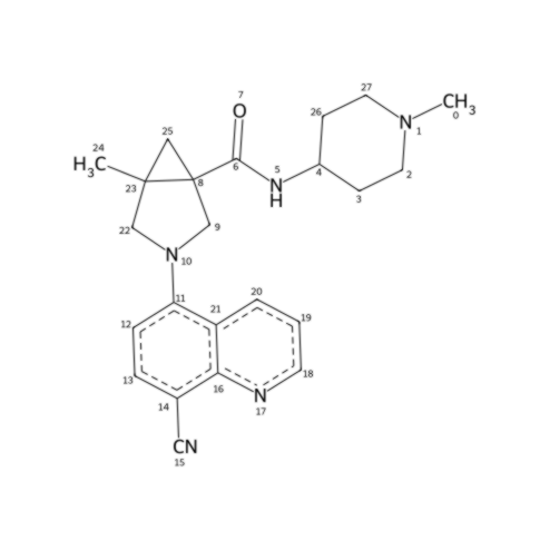 CN1CCC(NC(=O)C23CN(c4ccc(C#N)c5ncccc45)CC2(C)C3)CC1